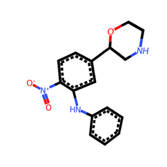 O=[N+]([O-])c1ccc(C2CNCCO2)cc1Nc1ccccc1